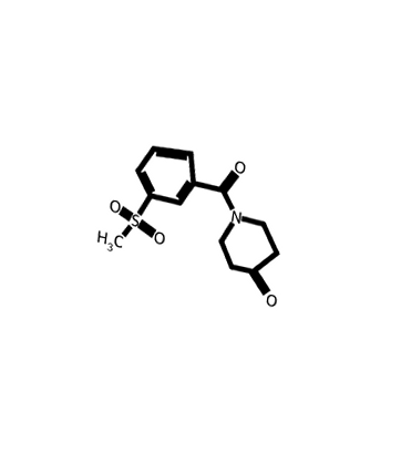 CS(=O)(=O)c1cccc(C(=O)N2CCC(=O)CC2)c1